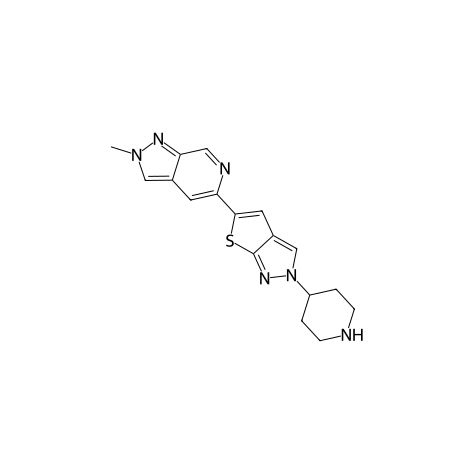 Cn1cc2cc(-c3cc4cn(C5CCNCC5)nc4s3)ncc2n1